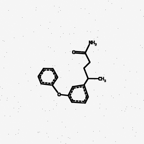 CC(CCC(N)=O)c1cccc(Oc2ccccc2)c1